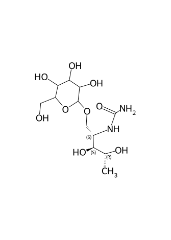 C[C@@H](O)[C@@H](O)[C@H](COC1OC(CO)C(O)C(O)C1O)NC(N)=O